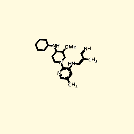 COC1CN(c2ncc(C)cc2N/C=C(/C)C=N)CCC1NC1CCCCC1